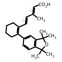 CC(/C=C/C1=C(c2ccc3c(c2)C(C)(C)OC3(C)C)CCCC1)=C\C(=O)O